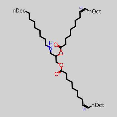 CCCCCCCC/C=C\CCCCCCCC(=O)OCC(CNCCCCCCCCCCCCCCCCCC)OC(=O)CCCCCCC/C=C\CCCCCCCC